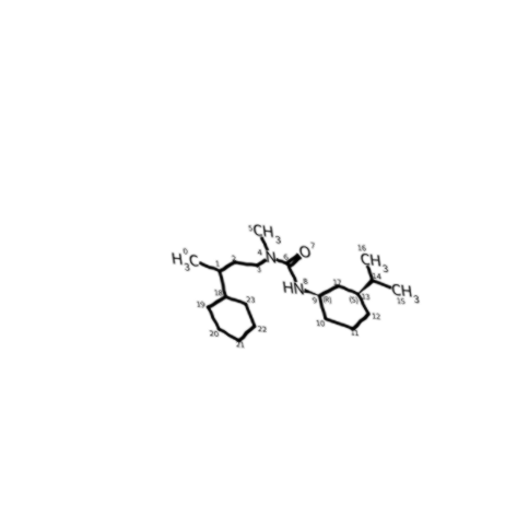 CC(CCN(C)C(=O)N[C@@H]1CCC[C@H](C(C)C)C1)C1CCCCC1